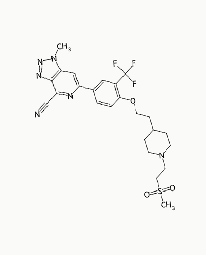 Cn1nnc2c(C#N)nc(-c3ccc(OCCC4CCN(CCS(C)(=O)=O)CC4)c(C(F)(F)F)c3)cc21